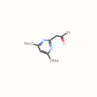 CCC(=O)Cc1nc(OC)cc(OC)n1